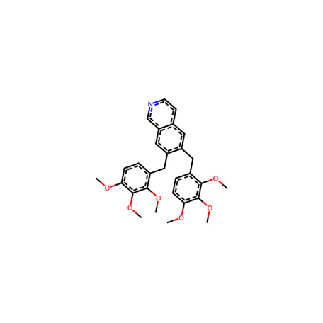 COc1ccc(Cc2cc3ccncc3cc2Cc2ccc(OC)c(OC)c2OC)c(OC)c1OC